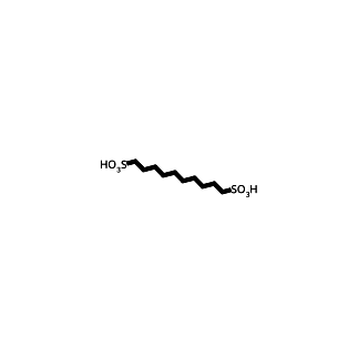 O=S(=O)(O)CCCCCCCCCCS(=O)(=O)O